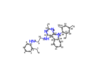 CCc1ccccc1NCCNc1nc(C)nc2c1c1ccccc1n2-c1c(C)cc(C)cc1C